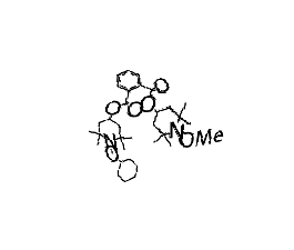 CON1C(C)(C)CC(OC(=O)c2ccccc2C(=O)OC2CC(C)(C)N(OC3CCCCC3)C(C)(C)C2)CC1(C)C